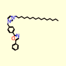 CCCCCCCCCCCCCCCC[n+]1ccn(Cc2ccc(-c3ncc(-c4ccccc4)o3)cc2)c1